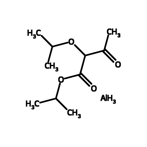 CC(=O)C(OC(C)C)C(=O)OC(C)C.[AlH3]